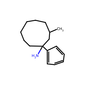 CC1CCCCCCC(N)(c2ccccc2)C1